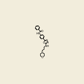 O=C(Nc1ccc(-c2nnc(NCCCN3CCOCC3)o2)cc1)c1ccccc1